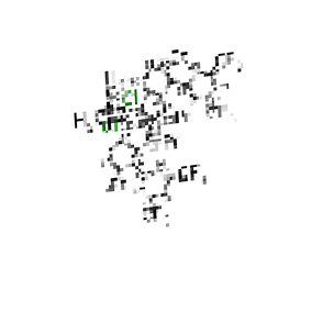 CCc1ccc2c(c1-c1cc(C(F)(F)F)cc(C(F)(F)F)c1)C=C(CC(C)C)[CH]2[Zr]([Cl])([Cl])([CH]1C(CC(C)C)=Cc2c1ccc(CC)c2-c1cc(C(F)(F)F)cc(C(F)(F)F)c1)[SiH](C)C